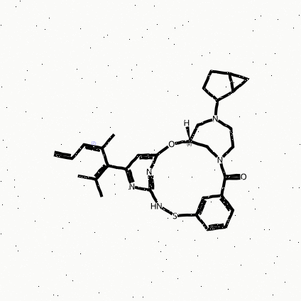 C=C/C=C(/C)C(=C(C)C)c1cc2nc(n1)NSc1cccc(c1)C(=O)N1CCN(C3CCC4CC43)C[C@H](C1)O2